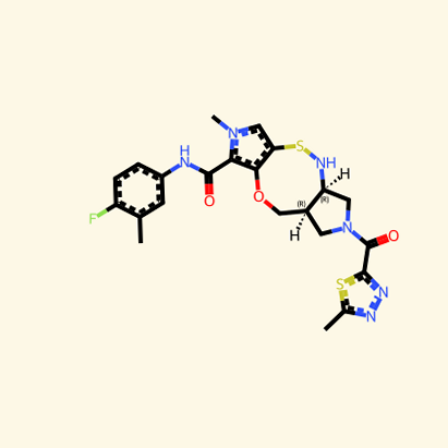 Cc1nnc(C(=O)N2C[C@H]3COc4c(cn(C)c4C(=O)Nc4ccc(F)c(C)c4)SN[C@H]3C2)s1